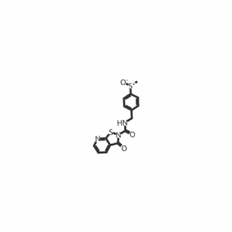 C[S+]([O-])c1ccc(CNC(=O)n2sc3ncccc3c2=O)cc1